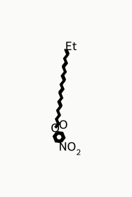 CCC=CCC=CCC=CCC=CCC=CCCCC(=O)Oc1ccc([N+](=O)[O-])cc1